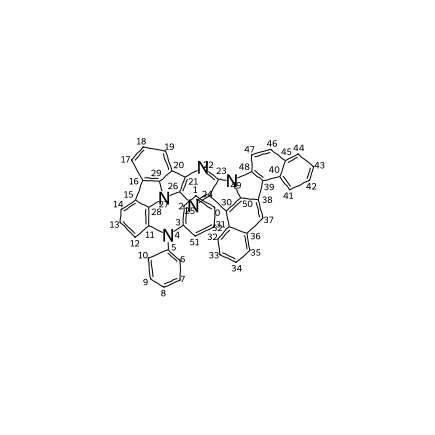 c1ccc(N(c2ccccc2)c2cccc3c4cccc5c6nc7c(nc6n(c23)c45)c2c3ccccc3cc3c4c5ccccc5ccc4n7c32)cc1